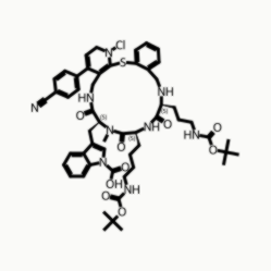 CN1C(=O)[C@H](CCCCNC(=O)OC(C)(C)C)NC(=O)[C@H](CCCNC(=O)OC(C)(C)C)NCc2ccccc2SC2=C(CNC(=O)[C@@H]1Cc1cn(C(=O)O)c3ccccc13)C(c1ccc(C#N)cc1)=CCN2Cl